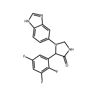 O=C1NCN(c2ccc3[nH]cnc3c2)C1c1cc(F)cc(F)c1F